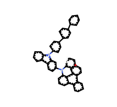 c1ccc(-c2ccc(-c3ccc(-n4c5ccccc5c5ccc(N(c6ccccc6)c6cccc7c8ccccc8c8ccccc8c67)cc54)cc3)cc2)cc1